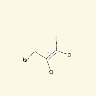 Cl/C(I)=C(\Cl)CBr